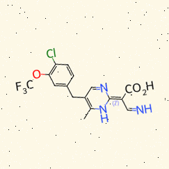 CC1=C(Cc2ccc(Cl)c(OC(F)(F)F)c2)C=N/C(=C(/C=N)C(=O)O)N1